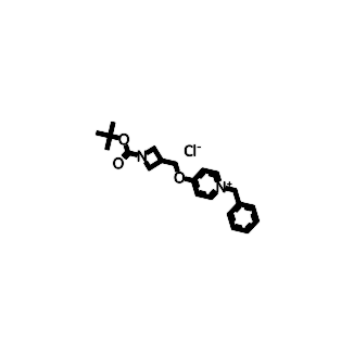 CC(C)(C)OC(=O)N1CC(COc2cc[n+](Cc3ccccc3)cc2)C1.[Cl-]